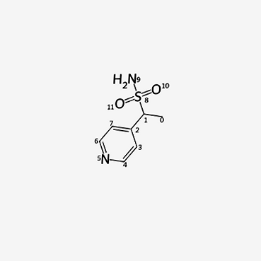 CC(c1ccncc1)S(N)(=O)=O